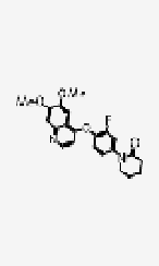 COc1cc2nccc(Oc3ccc(N4CCCCC4=O)cc3F)c2cc1OC